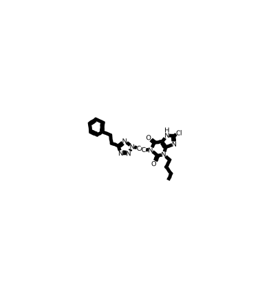 CCCCn1c(=O)n(CCn2nnc(CCc3ccccc3)n2)c(=O)c2[nH]c(Cl)nc21